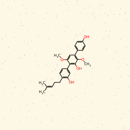 COc1cc(-c2ccc(O)cc2)c(OC)c(O)c1-c1ccc(CCC=C(C)C)c(O)c1